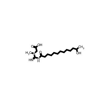 CC(O)CCCCCCCCCCC(=O)NC(=N)N(C)CC(=O)O